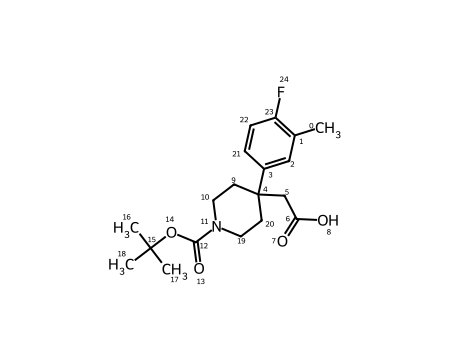 Cc1cc(C2(CC(=O)O)CCN(C(=O)OC(C)(C)C)CC2)ccc1F